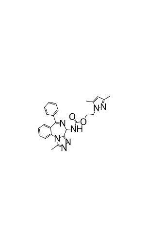 Cc1cc(C)n(CCOC(=O)NC2N=C(c3ccccc3)c3ccccc3-n3c(C)nnc32)n1